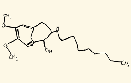 CCCCCCCCNC1Cc2cc(OC)c(OC)cc2C1O